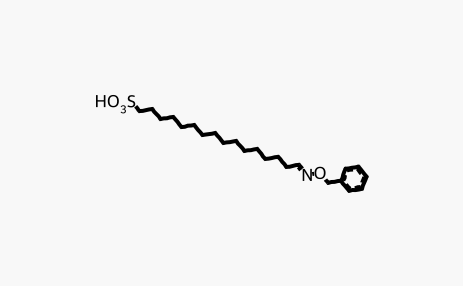 O=S(=O)(O)CCCCCCCCCCCCCCCC=NOCc1ccccc1